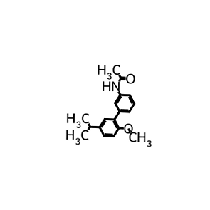 COc1ccc(C(C)C)cc1-c1cccc(NC(C)=O)c1